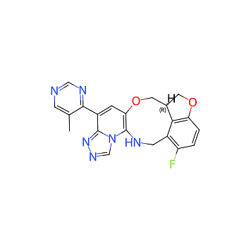 Cc1cncnc1-c1cc2c(n3cnnc13)NCc1c(F)ccc3c1[C@H](CO3)CO2